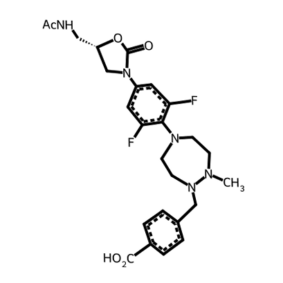 CC(=O)NC[C@H]1CN(c2cc(F)c(N3CCN(C)N(Cc4ccc(C(=O)O)cc4)CC3)c(F)c2)C(=O)O1